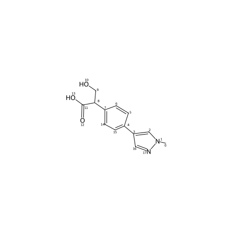 Cn1cc(-c2ccc(C(CO)C(=O)O)cc2)cn1